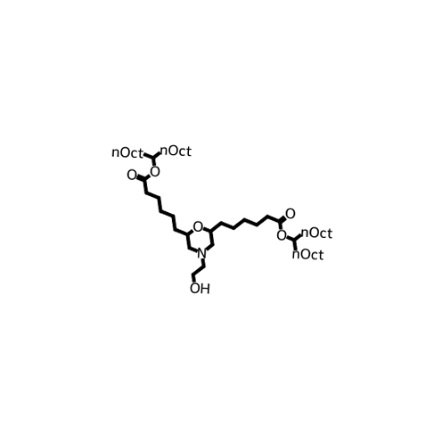 CCCCCCCCC(CCCCCCCC)OC(=O)CCCCCC1CN(CCO)CC(CCCCCC(=O)OC(CCCCCCCC)CCCCCCCC)O1